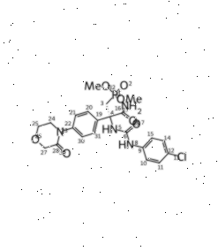 COP(=O)(C[C@@](NC(=O)Nc1ccc(Cl)cc1)(C(N)=O)c1ccc(N2CCOCC2=O)cc1)OC